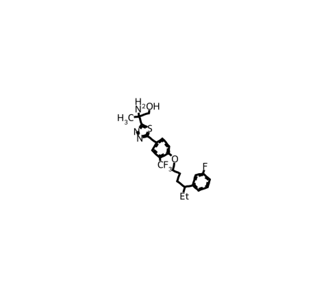 CCC(CCCOc1ccc(-c2nnc(C(C)(N)CO)s2)cc1C(F)(F)F)c1cccc(F)c1